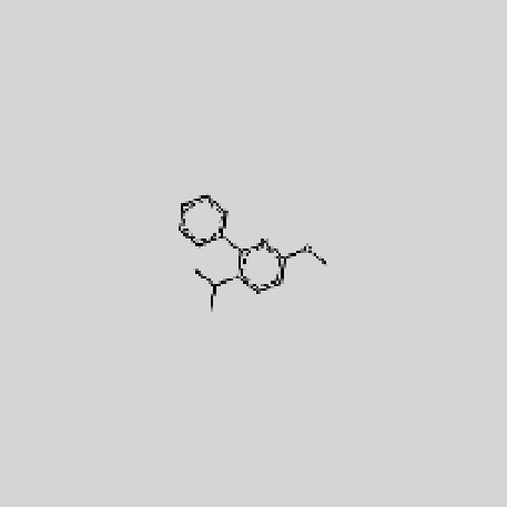 COc1ccc(C(C)C)c(-c2ccccc2)n1